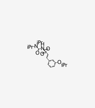 CC(C)Oc1cccc(C=CS(=O)(=O)NC(=O)N(C(C)C)C(C)C)c1